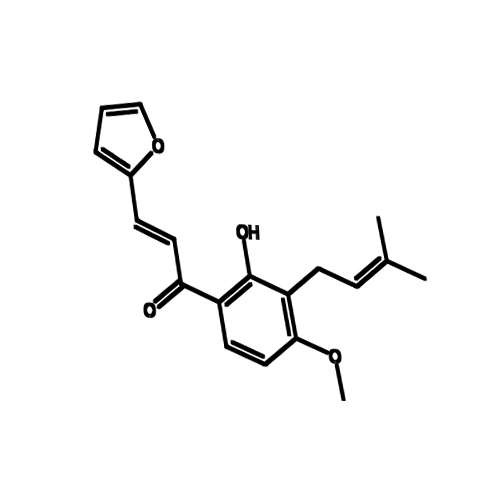 COc1ccc(C(=O)C=Cc2ccco2)c(O)c1CC=C(C)C